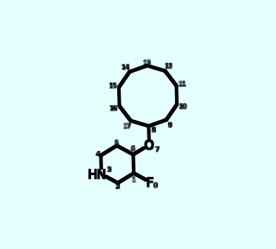 FC1CNCCC1OC1CCCCCCCCC1